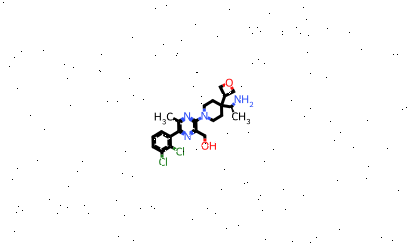 Cc1nc(N2CCC(C3COC3)([C@H](C)N)CC2)c(CO)nc1-c1cccc(Cl)c1Cl